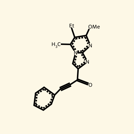 CCc1c(OC)nc2nc(C(=O)C#Cc3ccccc3)cn2c1C